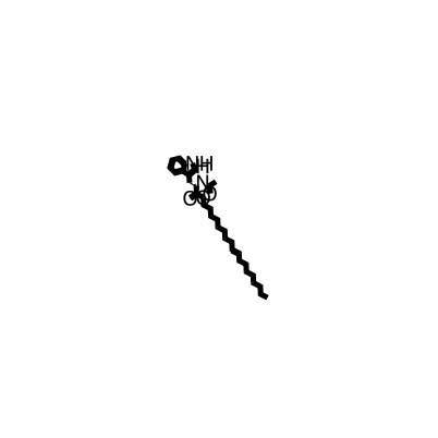 CCCCCCCCC=CCCCCCCCCOC(=O)[C@H](Cc1c[nH]c2ccccc12)NC(C)=O